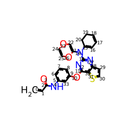 C=CC(=O)Nc1cccc(Oc2nc(N(C3=CC=CCC3)C3=COC=CO3)nc3ccsc23)c1